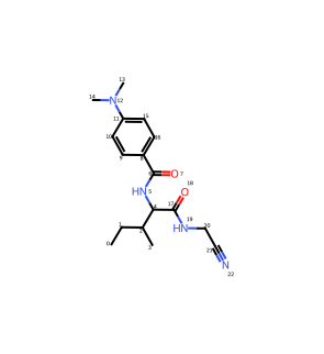 CCC(C)C(NC(=O)c1ccc(N(C)C)cc1)C(=O)NCC#N